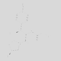 C[C@@H](c1ccc(Br)cc1)C(NC(=O)OC(C)(C)C)C(=O)N1CC[C@H](F)C1